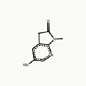 CN1C(=O)Cc2cc(C(C)(C)C)cnc21